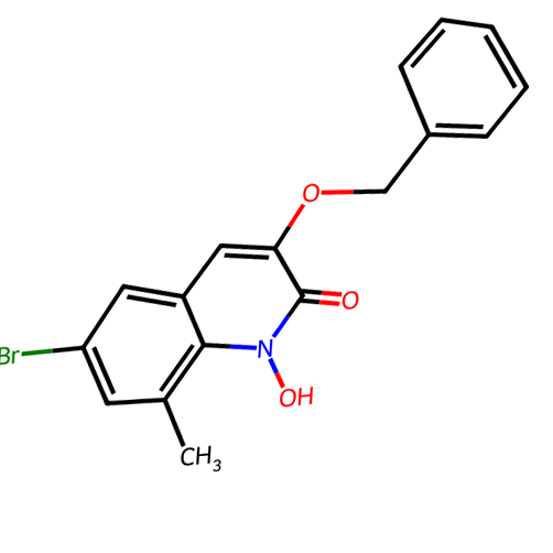 Cc1cc(Br)cc2cc(OCc3ccccc3)c(=O)n(O)c12